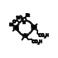 CCC1=C(C)c2nc1cc1[nH]c(cc3nc(cc4[nH]c(c(CC)c4C)c2C(N)=O)C(C)=C3CCC(=O)O)c(CCC(=O)O)c1C